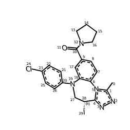 Cc1nnc2n1-c1ccc(C(=O)N3CCCC3)cc1N(c1ccc(Cl)cc1)C[C@H]2I